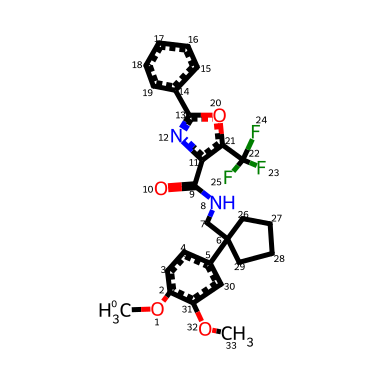 COc1ccc(C2(CNC(=O)c3nc(-c4ccccc4)oc3C(F)(F)F)CCCC2)cc1OC